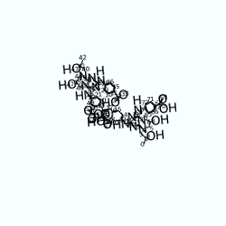 CC(O)CN(CC(C)O)c1nc(NC2=CC=C(/C=C/c3ccc(Nc4nc(Nc5ccc(C(=O)O)cc5)nc(N(CC(C)O)CC(C)O)n4)cc3S(=O)(=O)O)C(S(=O)(=O)O)C2)nc(Nc2ccc(C(=O)O)cc2)n1